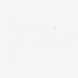 CC(C)(C)OC(=O)N[C@H](C(=O)N1CCCC1)C1CCC(NC(=O)[C@@H](O)c2ccccc2)CC1